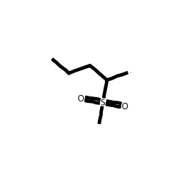 [CH2]C(CCC)S(C)(=O)=O